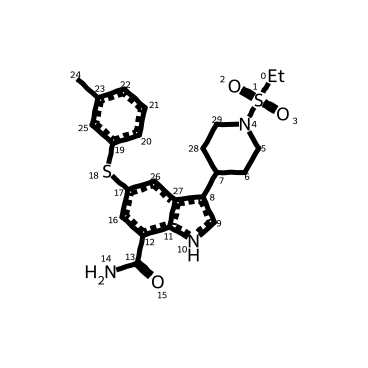 CCS(=O)(=O)N1CCC(c2c[nH]c3c(C(N)=O)cc(Sc4cccc(C)c4)cc23)CC1